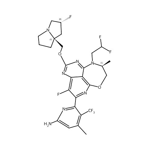 Cc1cc(N)nc(-c2nc3c4c(nc(OC[C@@]56CCCN5C[C@H](F)C6)nc4c2F)N(CC(F)F)[C@@H](C)CO3)c1C(F)(F)F